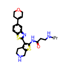 CC(C)NCCC(=O)Nc1sc2c(c1-c1nc3cc(C4=CCOCC4)ccc3s1)CCNC2